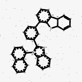 C1=CC2Sc3c(-c4cccc(-c5nc6ccccc6n5-c5cccc6ccccc56)c4)cccc3C2C=C1